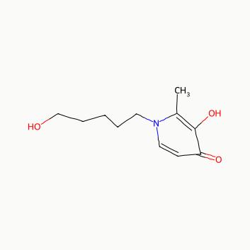 Cc1c(O)c(=O)ccn1CCCCCO